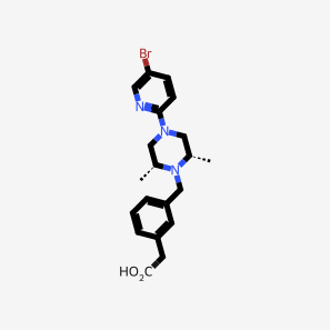 C[C@@H]1CN(c2ccc(Br)cn2)C[C@H](C)N1Cc1cccc(CC(=O)O)c1